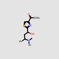 COC(=O)c1csc(C(O)CC(C(C)C)N(C)C(C)=O)n1